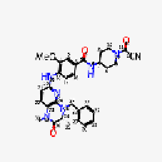 COc1cc(C(=O)NC2CCN(C(=O)C#N)CC2)ccc1Nc1ccc2c(n1)N(Cc1ccccc1)[C@H](C)C(=O)N2C